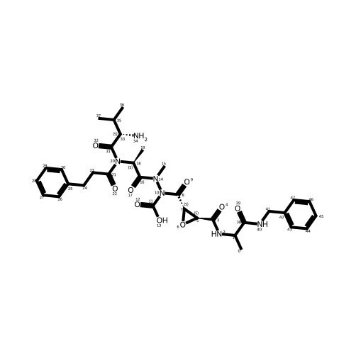 CC(NC(=O)[C@H]1O[C@@H]1C(=O)N(C(=O)O)N(C)C(=O)[C@H](C)N(C(=O)CCc1ccccc1)C(=O)[C@@H](N)C(C)C)C(=O)NCc1ccccc1